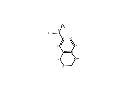 O=[N+]([O-])c1ccc2c(c1)[C]CCO2